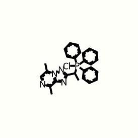 Cc1ncc(C)n2nc(C(C)P(Cl)(c3ccccc3)(c3ccccc3)c3ccccc3)nc12